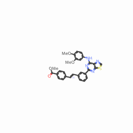 COC(=O)c1ccc(/C=C/c2cccc(-c3nc(Nc4ccc(OC)c(OC)c4)c4ncsc4n3)c2)cc1